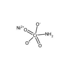 [NH2][Cr](=[O])(=[O])([O-])[O-].[Ni+2]